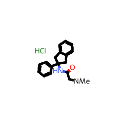 CNCC(=O)NC1(c2ccccc2)Cc2ccccc2C1.Cl